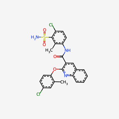 Cc1cc(Cl)ccc1Oc1nc2ccccc2cc1C(=O)Nc1ccc(Cl)c(S(N)(=O)=O)c1C